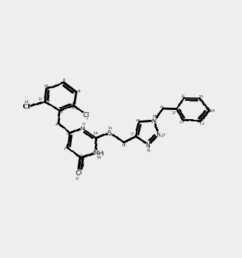 O=c1cc(Cc2c(Cl)cccc2Cl)nc(SCc2cn(Cc3ccccc3)nn2)[nH]1